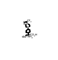 CC(C)(C)C[C@](N)(C(=O)O)c1ccc(N2CCn3c(nnc3C(F)(F)F)C2)cc1